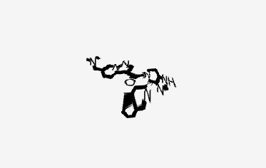 CN(C)Cc1ccc2c(C(=O)N3CCc4[nH]cnc4[C@@H]3c3cc4ccccc4cn3)cnn2c1